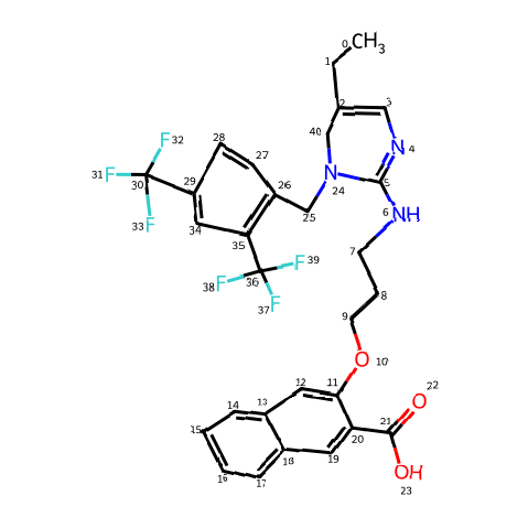 CCC1=CN=C(NCCCOc2cc3ccccc3cc2C(=O)O)N(Cc2ccc(C(F)(F)F)cc2C(F)(F)F)C1